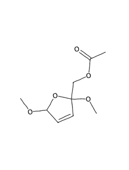 COC1C=CC(COC(C)=O)(OC)O1